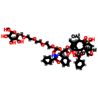 CC(=O)O[C@H]1C(=O)[C@@]2(C)[C@H]([C@H](OC(=O)c3ccccc3)[C@]3(O)C[C@H](OC(=O)[C@H](OC(=O)OCCOCCOCCOC[C@H]4OC(O)[C@@H](O)[C@@H](O)[C@@H]4O)[C@@H](NC(=O)c4ccccc4)c4ccccc4)C(C)=C1C3(C)C)[C@]1(OC(C)=O)CO[C@@H]1C[C@@H]2O